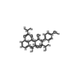 COc1ccc(N(C(=O)c2c(OC(=O)C(C)C)c3ccccc3n(C)c2=O)C(=O)C(C)C)cc1